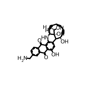 C[C@@H](O)[C@@]1(O)C2c3cc(O)c4c(c3N[C@H]1C#C/C=C\C#C[C@H]2O)C(=O)c1ccc(CN)cc1C4=O